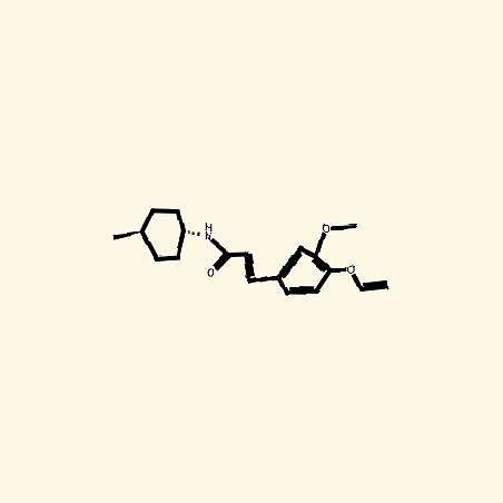 C=COc1ccc(C=CC(=O)N[C@H]2CC[C@H](C)CC2)cc1OC